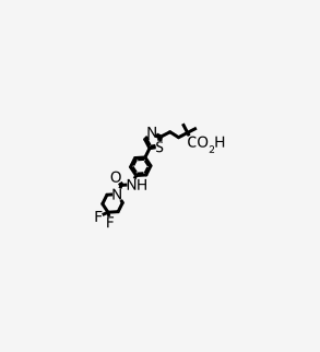 CC(C)(CCc1ncc(-c2ccc(NC(=O)N3CCC(F)(F)CC3)cc2)s1)C(=O)O